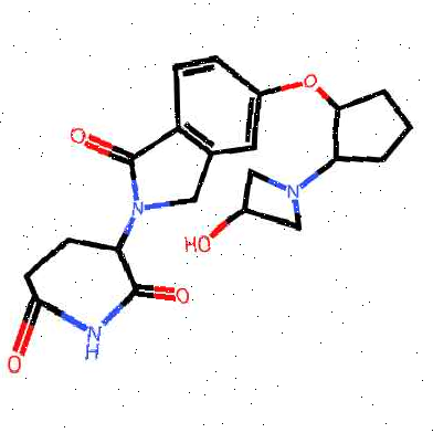 O=C1CCC(N2Cc3cc(OC4CCCC4N4CC(O)C4)ccc3C2=O)C(=O)N1